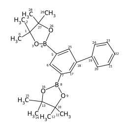 CC1(C)OB(c2cc(B3OC(C)(C)C(C)(C)O3)cc(-c3ccccc3)c2)OC1(C)C